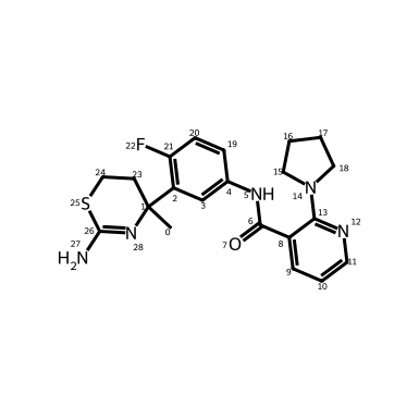 CC1(c2cc(NC(=O)c3cccnc3N3CCCC3)ccc2F)CCSC(N)=N1